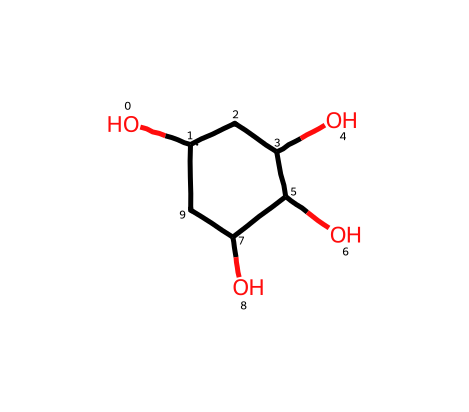 O[C]1CC(O)C(O)C(O)C1